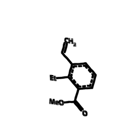 C=Cc1cccc(C(=O)OC)c1CC